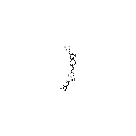 Cc1ncc(CC(=O)N[C@H]2CC[C@H](CCN3CCc4cc(CCC(F)(F)F)cnc4CC3)CC2)s1